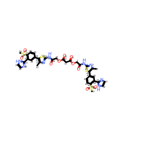 Cc1nc(NC(=O)COC(=O)CC(=O)OCC(=O)Nc2nc(C)c(-c3ccc(S(C)(=O)=O)c(-c4ncc[nH]4)c3)s2)sc1-c1ccc(S(C)(=O)=O)c(-c2ncc[nH]2)c1